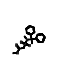 COC(=O)CS(=O)(=O)N(C)C(C)(c1ccccc1)c1ccccc1